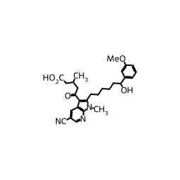 COc1cccc(C(O)CCCCCc2c(C(=O)CC(C)CC(=O)O)c3cc(C#N)cnc3n2C)c1